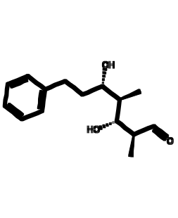 C[C@@H]([C@@H](O)[C@H](C)C=O)[C@@H](O)CCc1ccccc1